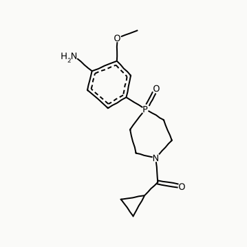 COc1cc(P2(=O)CCN(C(=O)C3CC3)CC2)ccc1N